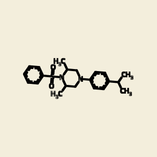 CC(C)c1ccc(N2CC(C)N(S(=O)(=O)c3ccccc3)C(C)C2)cc1